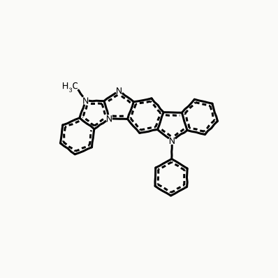 Cn1c2ccccc2n2c3cc4c(cc3nc12)c1ccccc1n4-c1ccccc1